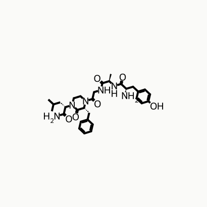 CC(C)C[C@@H](C(N)=O)N1CCN(C(=O)CNC(=O)[C@@H](C)NC(=O)[C@@H](N)Cc2ccc(O)cc2)[C@H](Cc2ccccc2)C1=O